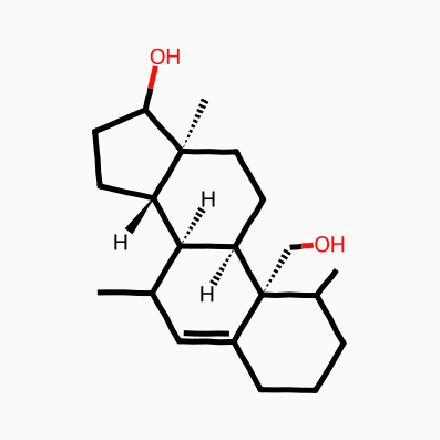 CC1C=C2CCCC(C)[C@]2(CO)[C@@H]2CC[C@]3(C)C(O)CC[C@H]3[C@H]12